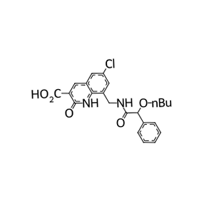 CCCCOC(C(=O)NCc1cc(Cl)cc2cc(C(=O)O)c(=O)[nH]c12)c1ccccc1